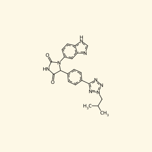 CC(C)Cn1nnc(-c2ccc(C3C(=O)NC(=O)N3c3ccc4[nH]cnc4c3)cc2)n1